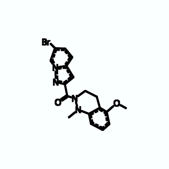 COc1cccc2c1CCN(C(=O)c1cc3ccc(Br)cn3n1)N2C